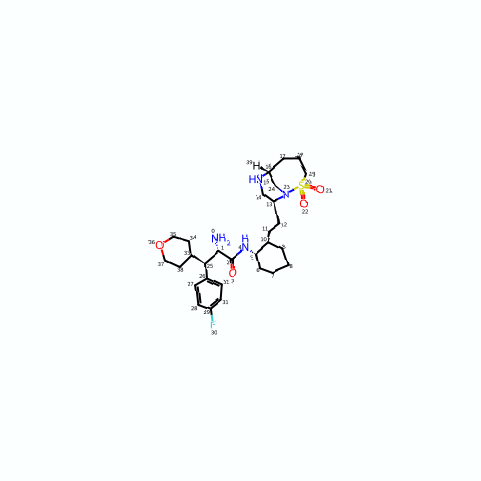 N[C@H](C(=O)N[C@H]1CCCC[C@@H]1CC[C@H]1CN[C@@H]2CCCS(=O)(=O)N1C2)[C@@H](c1ccc(F)cc1)C1CCOCC1